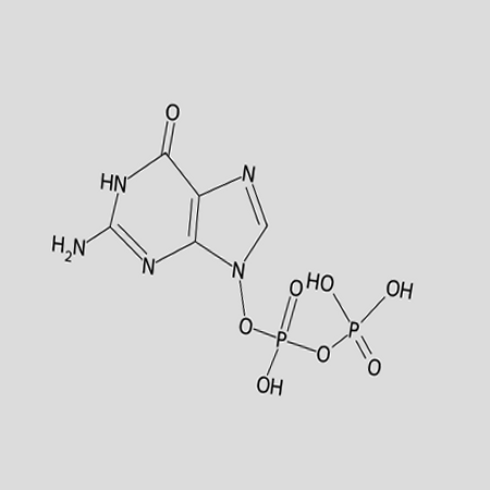 Nc1nc2c(ncn2OP(=O)(O)OP(=O)(O)O)c(=O)[nH]1